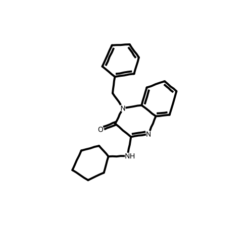 O=c1c(NC2CCCCC2)nc2ccccc2n1Cc1ccccc1